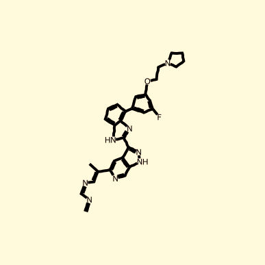 C=N/C=N\C=C(/C)c1cc2c(-c3nc4c(-c5cc(F)cc(OCCN6CCCC6)c5)cccc4[nH]3)n[nH]c2cn1